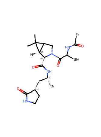 CCC(=O)NC(C(=O)N1CC2[C@@H]([C@H]1C(=O)N[C@H](C#N)C[C@@H]1CCNC1=O)C2(C)C)C(C)(C)C